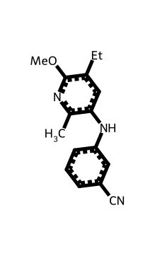 CCc1cc(Nc2cccc(C#N)c2)c(C)nc1OC